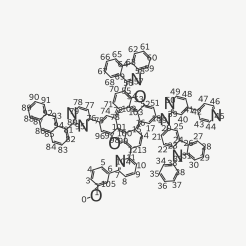 COc1cccc(-c2cccc(-c3ccc4c5cc(N(c6ccc7c(c6)c6ccccc6n7-c6ccccc6)c6cc(-c7ccncc7)ccn6)cc6oc7c(-c8nc9ccccc9c9ccccc89)ccc(c8cc(-c9ccnc(-c%10cccc%11cc%12ccccc%12cc%10%11)n9)cc9oc3c4c98)c7c65)n2)c1